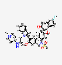 CNC(=O)c1c(-c2ccc(F)cc2)oc2cc(N(C)S(C)(=O)=O)c(-c3ccc4c(c3)-c3cc5ccccc5n3CC(NC3CCN(C)CC3)CO4)cc12